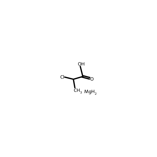 CC(Cl)C(=O)O.[MgH2]